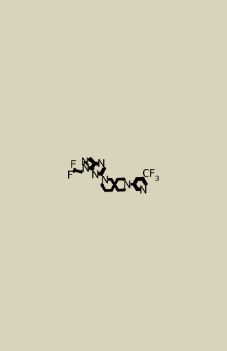 FC(F)Cn1ncc2ncc(N3CCCC4(CCN(c5cncc(C(F)(F)F)c5)CC4)C3)nc21